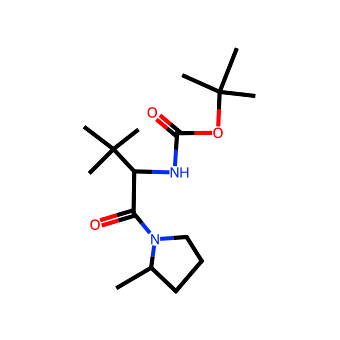 CC1CCCN1C(=O)C(NC(=O)OC(C)(C)C)C(C)(C)C